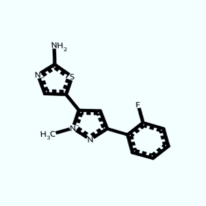 Cn1nc(-c2ccccc2F)cc1-c1cnc(N)s1